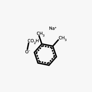 Cc1ccccc1C.O=C([O-])O.[Na+]